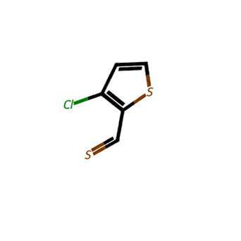 S=Cc1sccc1Cl